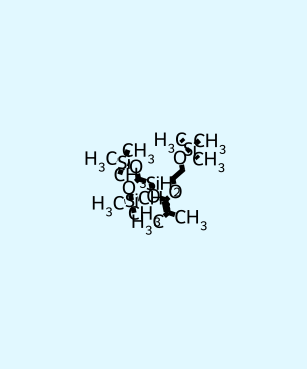 CC(C)=C(OCCO[Si](C)(C)C)O[SiH2]C(O[Si](C)(C)C)O[Si](C)(C)C